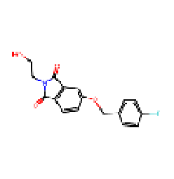 O=C1c2ccc(OCc3ccc(F)cc3)cc2C(=O)N1CCO